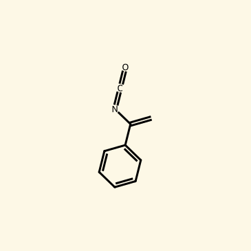 C=C(N=C=O)c1ccccc1